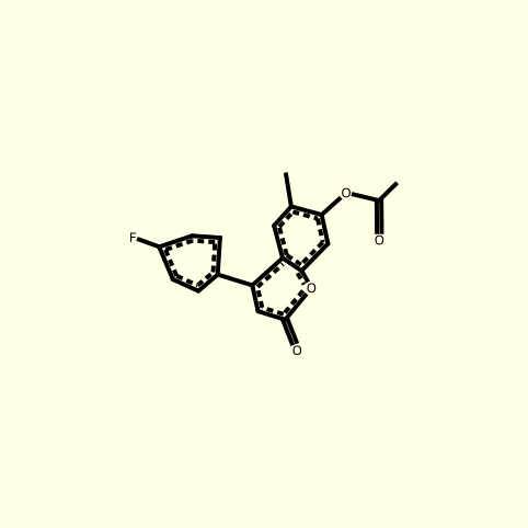 CC(=O)Oc1cc2oc(=O)cc(-c3ccc(F)cc3)c2cc1C